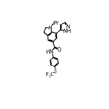 CC(C)N1CCc2cc(C(=O)Nc3ccc(SC(F)(F)F)cc3)cc(-c3ccn[nH]3)c21